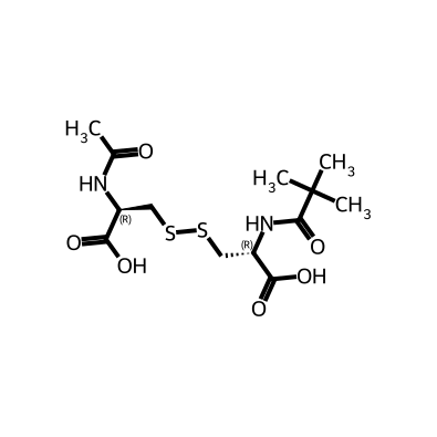 CC(=O)N[C@@H](CSSC[C@H](NC(=O)C(C)(C)C)C(=O)O)C(=O)O